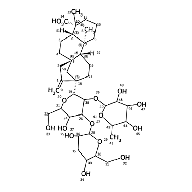 C=C1C[C@@]23CC[C@H]4[C@@](C)(CCC[C@@]4(C)C(=O)O)[C@@H]2CC[C@]1(C1OC(CO)C(O)C(OC2OC(CO)C(O)CC2O)C1OC1OC(C)C(O)C(O)C1O)C3